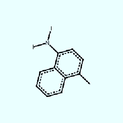 Cc1ccc(N(I)I)c2ccccc12